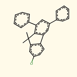 CC1(C)c2cc(Cl)ccc2-c2cc(-c3ccccc3)cc(-c3ccccc3)c21